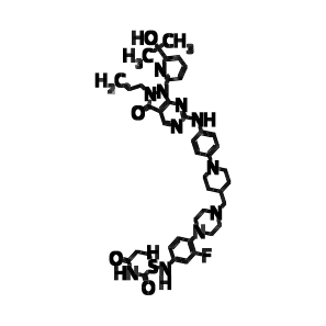 C=CCn1c(=O)c2cnc(Nc3ccc(N4CCC(CN5CCN(c6ccc(N[SH]7CCC(=O)NC7=O)cc6F)CC5)CC4)cc3)nc2n1-c1cccc(C(C)(C)O)n1